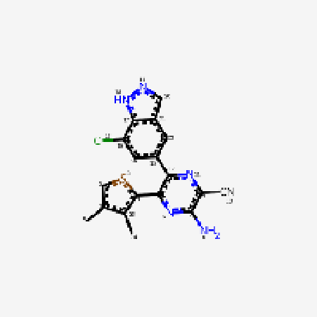 Cc1csc(-c2nc(N)c(C#N)nc2-c2cc(Cl)c3[nH]ncc3c2)c1C